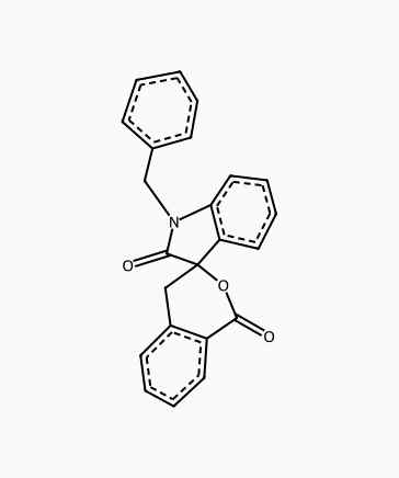 O=C1OC2(Cc3ccccc31)C(=O)N(Cc1ccccc1)c1ccccc12